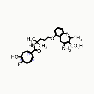 CC1=Nc2cccc(OCCCC(C)(C)NC(=O)C3=C/C/C(O)=C(/F)C/C=C\3)c2CC(N)=C1C(=O)O